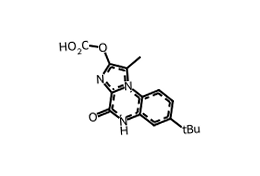 Cc1c(OC(=O)O)nc2c(=O)[nH]c3cc(C(C)(C)C)ccc3n12